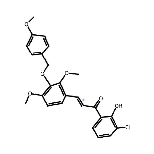 COc1ccc(COc2c(OC)ccc(/C=C/C(=O)c3cccc(Cl)c3O)c2OC)cc1